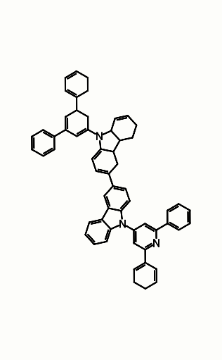 C1=CCCC(C2C=C(c3ccccc3)C=C(N3C4=CC=C(c5ccc6c(c5)c5ccccc5n6-c5cc(C6=CCCC=C6)nc(-c6ccccc6)c5)CC4C4CCC=CC43)C2)=C1